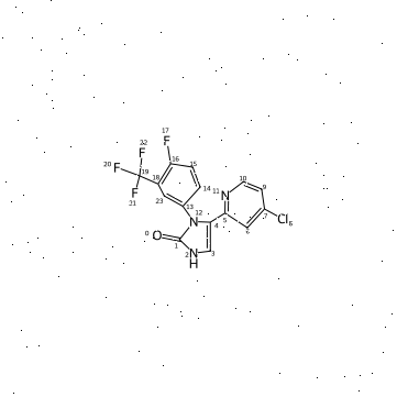 O=c1[nH]cc(-c2cc(Cl)ccn2)n1-c1ccc(F)c(C(F)(F)F)c1